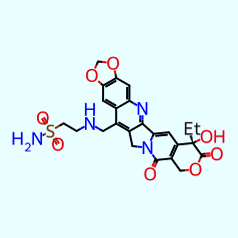 CC[C@@]1(O)C(=O)OCc2c1cc1n(c2=O)Cc2c-1nc1cc3c(cc1c2CNCCS(N)(=O)=O)OCO3